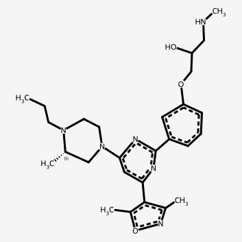 CCCN1CCN(c2cc(-c3c(C)noc3C)nc(-c3cccc(OCC(O)CNC)c3)n2)C[C@@H]1C